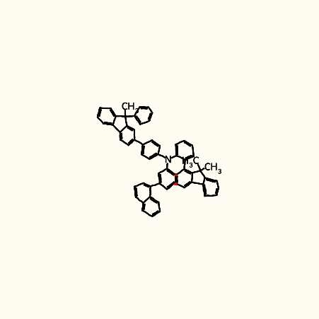 CC1(C)c2ccccc2-c2cccc(-c3ccccc3N(c3ccc(-c4ccc5c(c4)C(C)(c4ccccc4)c4ccccc4-5)cc3)c3cccc(-c4cccc5ccccc45)c3)c21